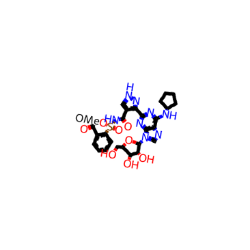 COC(=O)c1ccccc1S(=O)(=O)NC(=O)c1c[nH]nc1-c1nc(NC2CCCC2)c2ncn(C3OC(CO)C(O)C3O)c2n1